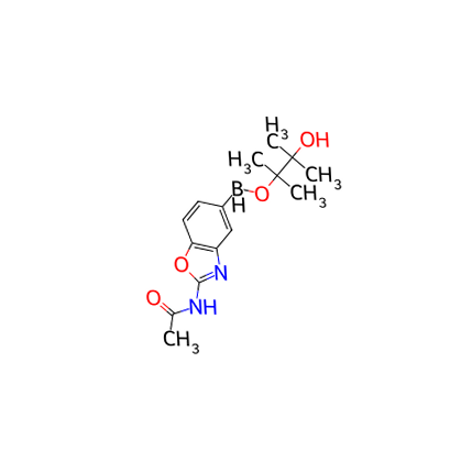 CC(=O)Nc1nc2cc(BOC(C)(C)C(C)(C)O)ccc2o1